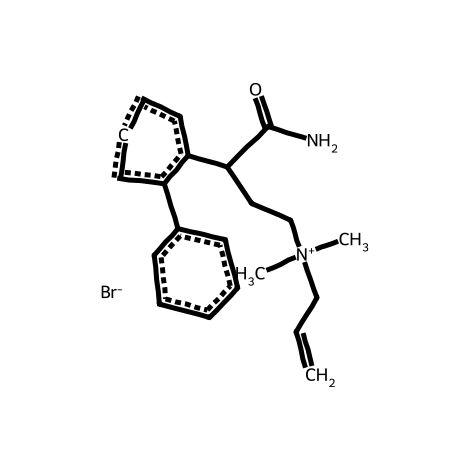 C=CC[N+](C)(C)CCC(C(N)=O)c1ccccc1-c1ccccc1.[Br-]